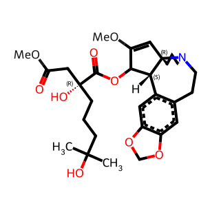 COC(=O)C[C@](O)(CCCC(C)(C)O)C(=O)OC1C(OC)=C[C@]23CCCN2CCc2cc4c(cc2[C@H]13)OCO4